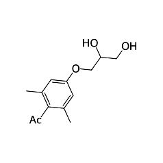 CC(=O)c1c(C)cc(OCC(O)CO)cc1C